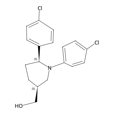 OC[C@H]1CC[C@@H](c2ccc(Cl)cc2)N(c2ccc(Cl)cc2)C1